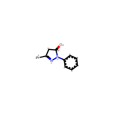 CC(C)C1=NN(c2ccccc2)C(=O)C1